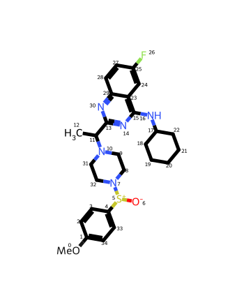 COc1ccc([S+]([O-])N2CCN(C(C)c3nc(NC4CCCCC4)c4cc(F)ccc4n3)CC2)cc1